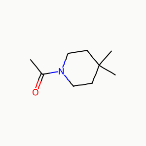 CC(=O)N1CCC(C)(C)CC1